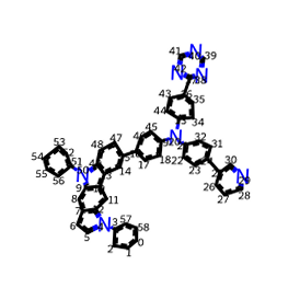 c1ccc(-n2ccc3cc4c(cc32)c2cc(-c3ccc(N(c5ccc(-c6cccnc6)cc5)c5ccc(-c6ncncn6)cc5)cc3)ccc2n4-c2ccccc2)cc1